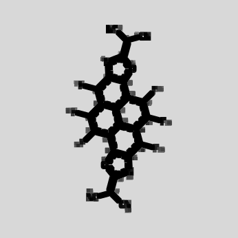 N#CC(C#N)=c1nc2c(F)c3c(F)c(F)c4c5oc(=C(C#N)C#N)nc5c(F)c5c(F)c(F)c(c2o1)c3c54